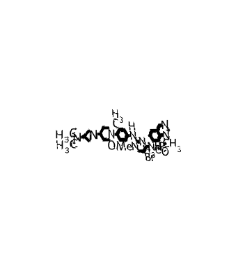 COc1cc(N2CCC(N3CC(N(C)C)C3)CC2)c(C)cc1Nc1ncc(Br)c(Nc2ccc3cncnc3c2P(C)(C)=O)n1